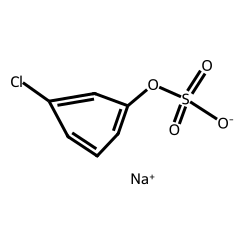 O=S(=O)([O-])Oc1cccc(Cl)c1.[Na+]